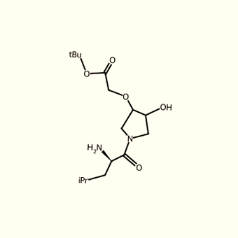 CC(C)C[C@@H](N)C(=O)N1CC(O)C(OCC(=O)OC(C)(C)C)C1